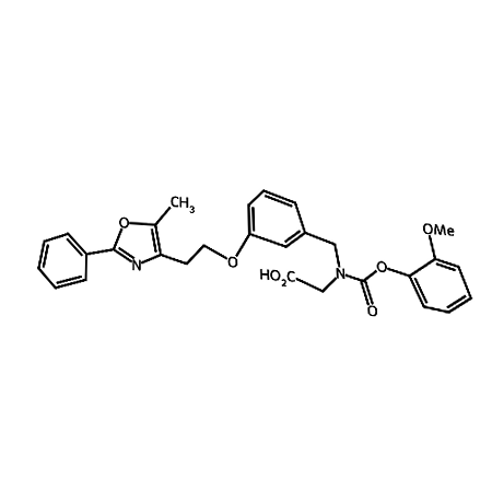 COc1ccccc1OC(=O)N(CC(=O)O)Cc1cccc(OCCc2nc(-c3ccccc3)oc2C)c1